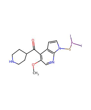 COc1cnc2c(ccn2SP(I)I)c1C(=O)C1CCNCC1